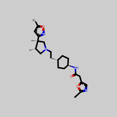 CCc1cc([C@@]2(C)CN(CC[C@H]3CC[C@H](NC(=O)Cc4cnc(C)o4)CC3)C[C@@H]2C)no1